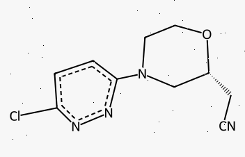 N#CC[C@@H]1CN(c2ccc(Cl)nn2)CCO1